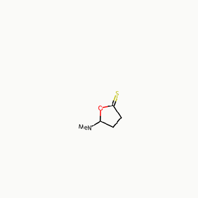 CNC1CCC(=S)O1